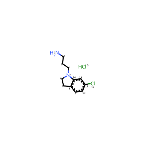 Cl.NCCCN1CCc2ccc(Cl)cc21